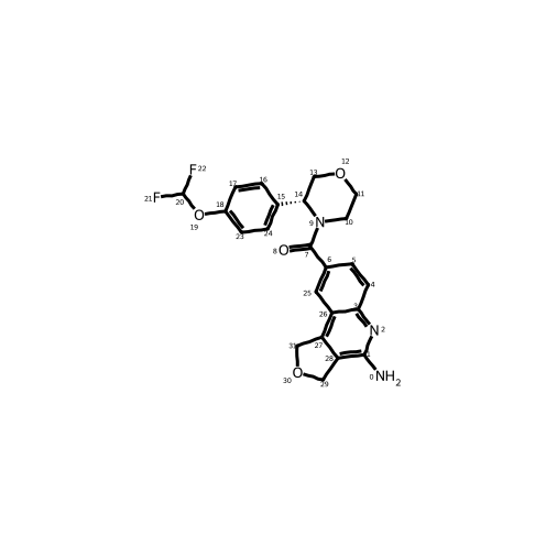 Nc1nc2ccc(C(=O)N3CCOC[C@H]3c3ccc(OC(F)F)cc3)cc2c2c1COC2